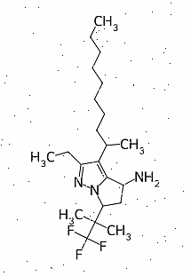 CCCCCCCCC(C)c1c(CC)nn2c1C(N)CC2C(C)(C)C(F)(F)F